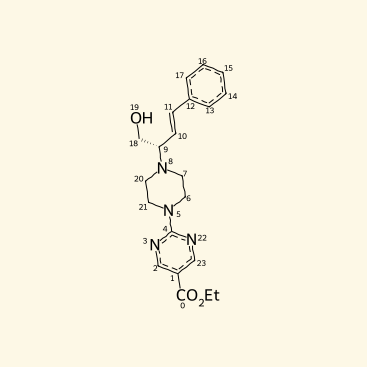 CCOC(=O)c1cnc(N2CCN([C@@H](/C=C/c3ccccc3)CO)CC2)nc1